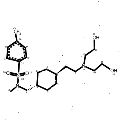 CN(C[C@H]1CC[C@H](CCN(CCO)CCO)CC1)S(=O)(=O)c1ccc(C(F)(F)F)cc1